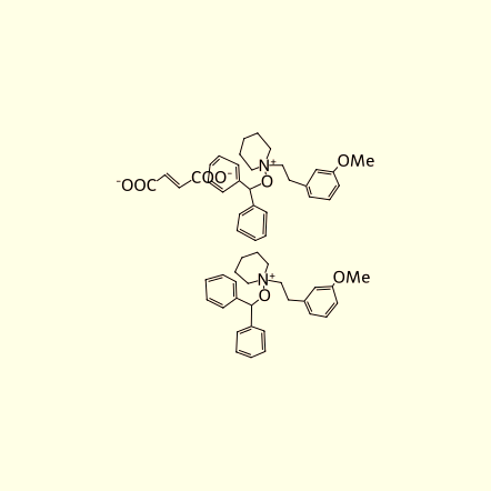 COc1cccc(CC[N+]2(OC(c3ccccc3)c3ccccc3)CCCCC2)c1.COc1cccc(CC[N+]2(OC(c3ccccc3)c3ccccc3)CCCCC2)c1.O=C([O-])/C=C/C(=O)[O-]